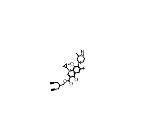 C#CCC(CC#C)COC(=O)c1cn(C2CC2)c2c(OC)c(N3CCNC(C)C3)c(F)cc2c1=O